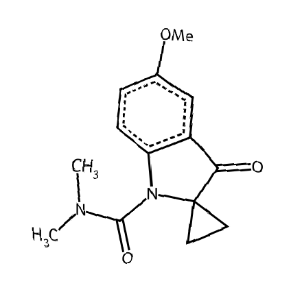 COc1ccc2c(c1)C(=O)C1(CC1)N2C(=O)N(C)C